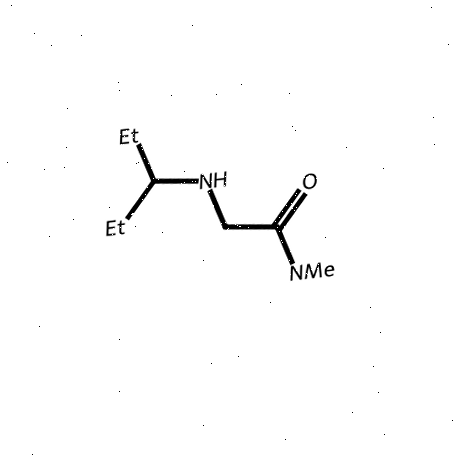 CCC(CC)NCC(=O)NC